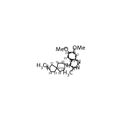 COc1cc2nnc(C)c(N3CCC4(CCN(C)C4)CC3)c2cc1OC